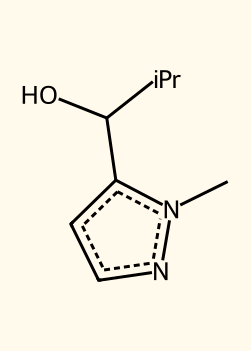 CC(C)C(O)c1ccnn1C